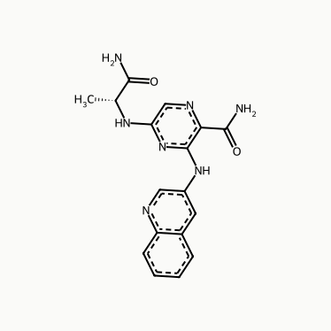 C[C@@H](Nc1cnc(C(N)=O)c(Nc2cnc3ccccc3c2)n1)C(N)=O